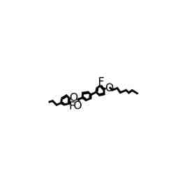 CCCCCCCOc1ccc(-c2ccc(C(=O)Oc3ccc(CCC)cc3F)cc2)cc1F